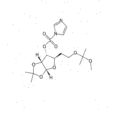 COC(C)(C)OCC[C@H]1O[C@@H]2OC(C)(C)O[C@@H]2[C@@H]1OS(=O)(=O)n1ccnc1